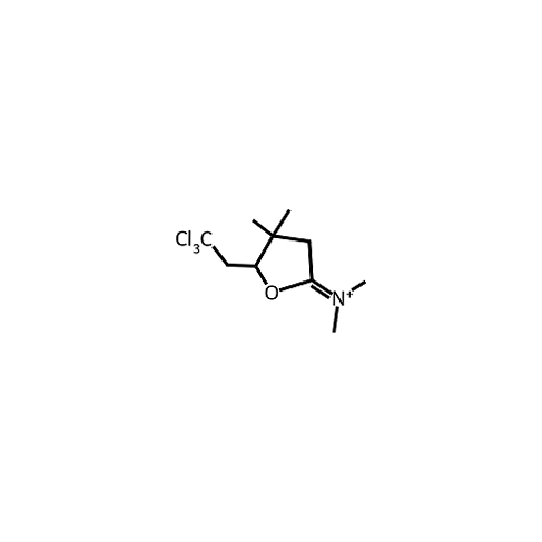 C[N+](C)=C1CC(C)(C)C(CC(Cl)(Cl)Cl)O1